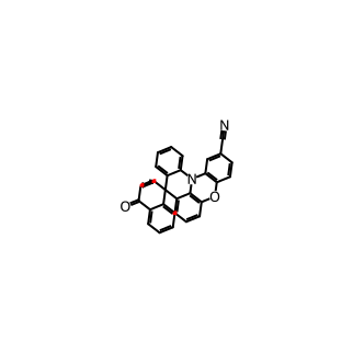 N#Cc1ccc2c(c1)N1c3ccccc3C3(c4ccccc4C(=O)c4ccccc43)c3cccc(c31)O2